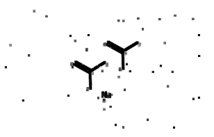 C=C(C)C.C=C(C)C.[Na]